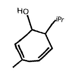 CC1=C[C](O)C(C(C)C)C=C1